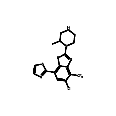 CC1CNCCN1c1nc2c(C(F)(F)F)c(Cl)cc(-c3nccs3)c2o1